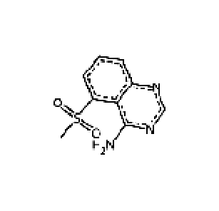 CS(=O)(=O)c1cccc2ncnc(N)c12